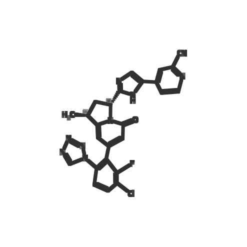 C[C@H]1C[C@H](c2ncc(-c3ccnc(C#N)c3)[nH]2)n2c1cc(-c1c(-n3cnnn3)ccc(Cl)c1F)cc2=O